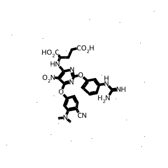 CN(C)c1cc(Oc2nc(Oc3cccc(NC(=N)N)c3)nc(NC(CCC(=O)O)C(=O)O)c2[N+](=O)[O-])ccc1C#N